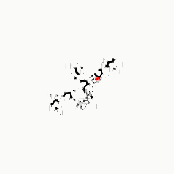 COC[C@H]1[C@@H](O)[C@H](n2c[n+](C)c3c(=O)[nH]c(N)nc32)O[C@@H]1COP(=O)(O)OP(=O)(O)OP(=O)(O)OCC1O[C@@H](n2cnc3c(N)ncnc32)[C@H](OC)[C@@H]1NP(=O)([O-])OC[C@H]1O[C@@H](n2cnc3c(=O)[nH]c(N)nc32)[C@H](O)[C@@H]1O